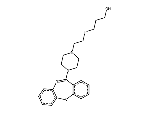 OCCCOCCN1CCN(C2=Nc3ccccc3Sc3ccccc32)CC1